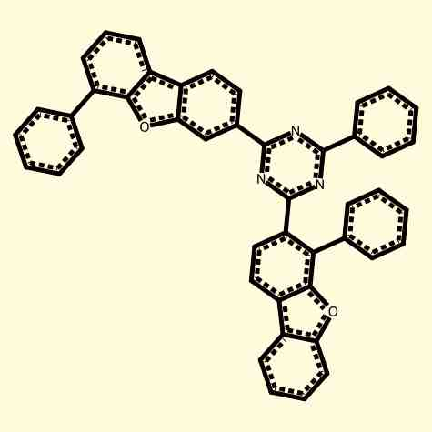 c1ccc(-c2nc(-c3ccc4c(c3)oc3c(-c5ccccc5)cccc34)nc(-c3ccc4c(oc5ccccc54)c3-c3ccccc3)n2)cc1